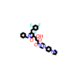 O=C(C=C(O)c1cc(Cc2c(F)cc(F)cc2F)cn(Cc2ccccc2)c1=O)C(=O)N1CCN(c2ccc(-n3cccc3)cc2)CC1